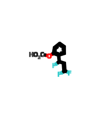 O=C(O)Oc1ccccc1C(F)C=C(F)F